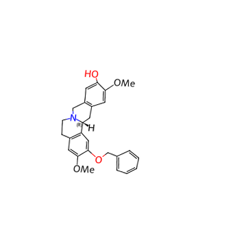 COc1cc2c(cc1O)CN1CCc3cc(OC)c(OCc4ccccc4)cc3[C@H]1C2